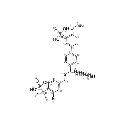 CCCCOc1ccc(-c2ccc(CSCc3ccc(C(F)(F)P(=O)(O)O)c(Br)c3)cc2)cc1P(=O)(O)O.[NaH].[NaH].[NaH].[NaH]